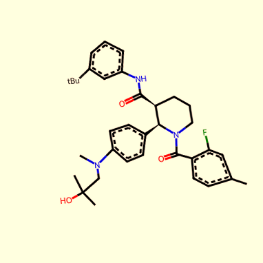 Cc1ccc(C(=O)N2CCC[C@H](C(=O)Nc3cccc(C(C)(C)C)c3)[C@@H]2c2ccc(N(C)CC(C)(C)O)cc2)c(F)c1